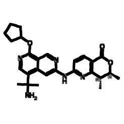 C[C@@H]1OC(=O)c2ccc(Nc3cc4c(C(C)(C)N)cnc(OC5CCCC5)c4cn3)nc2[C@H]1C